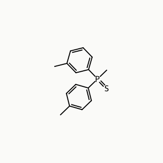 Cc1ccc(P(C)(=S)c2cccc(C)c2)cc1